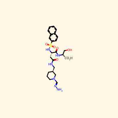 NN=CN1CCC[C@@H](CNC(=O)C[C@H](NS(=O)(=O)c2ccc3ccccc3c2)C(=O)N[C@@H](CO)C(=O)O)C1